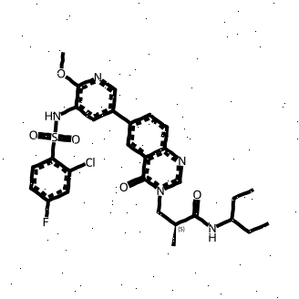 CCC(CC)NC(=O)[C@@H](C)Cn1cnc2ccc(-c3cnc(OC)c(NS(=O)(=O)c4ccc(F)cc4Cl)c3)cc2c1=O